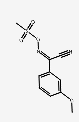 COc1cccc(C(C#N)=NOS(C)(=O)=O)c1